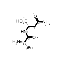 CC[C@@H](C)[C@@H](N)C(=O)N[C@@H](CC(N)=O)C(=O)O